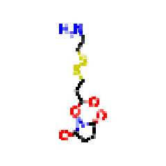 NCCSSCCC(=O)ON1C(=O)CCC1=O